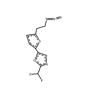 [N-]=[N+]=NCCc1ccc(-c2nnc(C(F)F)o2)s1